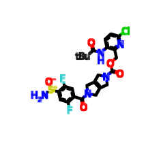 CC(C)(C)C(=O)Nc1ccc(Cl)nc1COC(=O)N1CC2=C(C1)CN(C(=O)c1cc(F)c([S+](N)[O-])cc1F)C2